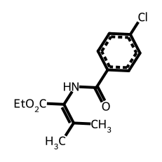 CCOC(=O)C(NC(=O)c1ccc(Cl)cc1)=C(C)C